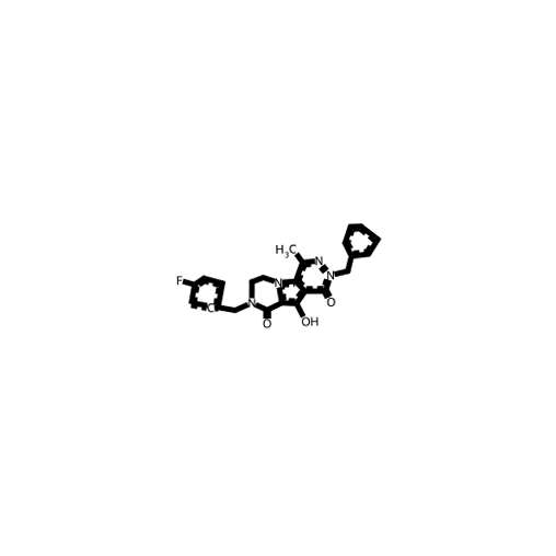 Cc1nn(Cc2ccccc2)c(=O)c2c(O)c3n(c12)CCN(Cc1ccc(F)cc1)C3=O